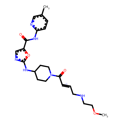 COCCNC/C=C/C(=O)N1CCC(Nc2ncc(C(=O)Nc3ccc(C)cn3)o2)CC1